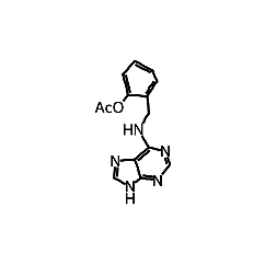 CC(=O)Oc1ccccc1CNc1ncnc2[nH]cnc12